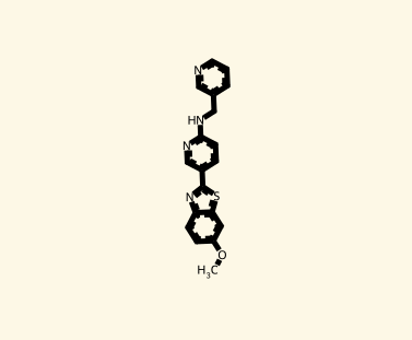 COc1ccc2nc(-c3ccc(NCc4cccnc4)nc3)sc2c1